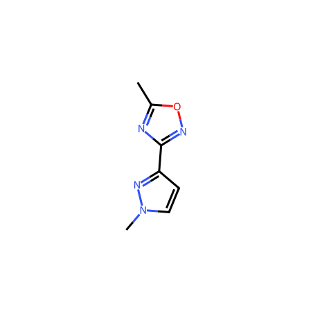 Cc1nc(-c2ccn(C)n2)no1